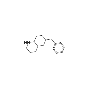 c1ccc(CC2CCC3NCCCC3C2)cc1